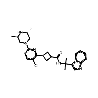 C[C@@H]1CN(c2ncc(Cl)c(N3CC(C(=O)NC(C)(C)c4cnc5ccccn45)C3)n2)C[C@@H](C)N1